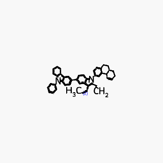 C=Cc1c(/C=C\C)c2cc(-c3ccc4c(c3)c3ccccc3n4-c3ccccc3)ccc2n1-c1ccc2c(c1)C1C=CCCC1CC2